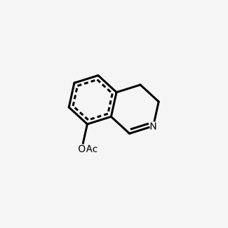 CC(=O)Oc1cccc2c1C=NCC2